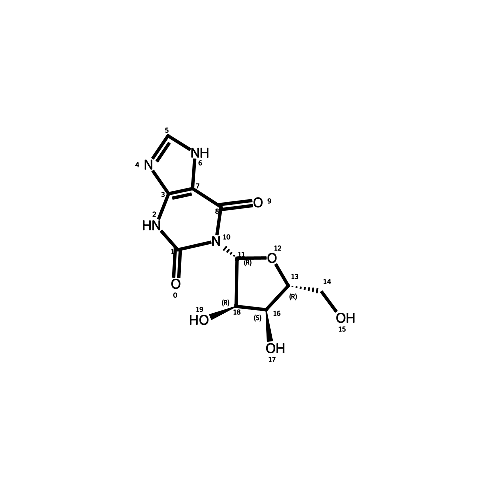 O=c1[nH]c2nc[nH]c2c(=O)n1[C@@H]1O[C@H](CO)[C@@H](O)[C@H]1O